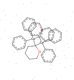 c1cc[c]([Ge]([c]2ccccc2)([c]2ccccc2)[C]2([Ge]([c]3ccccc3)([c]3ccccc3)[c]3ccccc3)CCCCO2)cc1